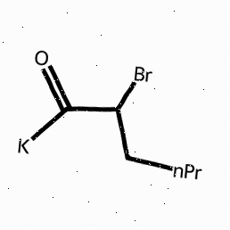 CCCCC(Br)[C](=O)[K]